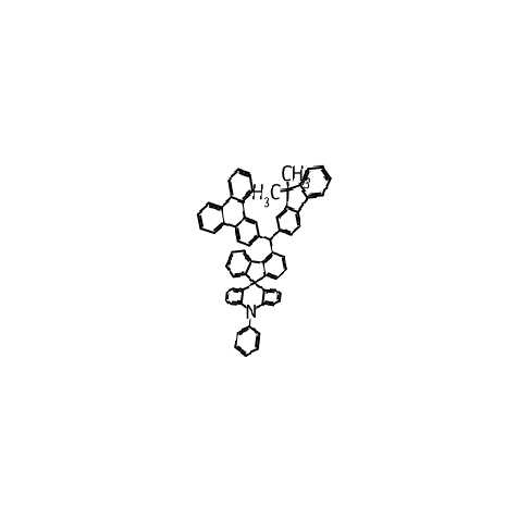 CC1(C)c2ccccc2-c2ccc(C(c3ccc4c5ccccc5c5ccccc5c4c3)c3cccc4c3-c3ccccc3C43c4ccccc4N(c4ccccc4)c4ccccc43)cc21